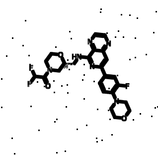 O=C(C(F)F)N1CCO[C@H](CNc2nc(-c3ccc(N4CCOCC4)c(F)c3)cc3nccnc23)C1